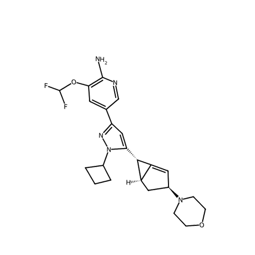 Nc1ncc(-c2cc([C@@H]3C4=C[C@@H](N5CCOCC5)C[C@H]43)n(C3CCC3)n2)cc1OC(F)F